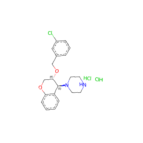 Cl.Cl.Clc1cccc(CO[C@H]2COc3ccccc3[C@@H]2N2CCNCC2)c1